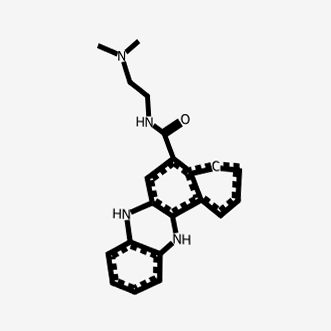 CN(C)CCNC(=O)c1cc2c(c3ccc[c]c13)Nc1ccccc1N2